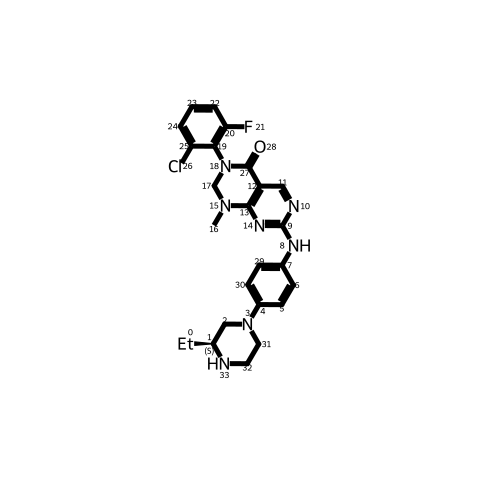 CC[C@H]1CN(c2ccc(Nc3ncc4c(n3)N(C)CN(c3c(F)cccc3Cl)C4=O)cc2)CCN1